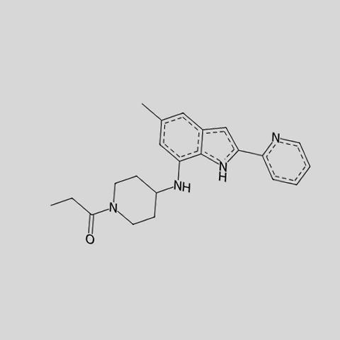 CCC(=O)N1CCC(Nc2cc(C)cc3cc(-c4ccccn4)[nH]c23)CC1